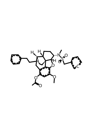 COc1cc(OC(C)=O)c2c3c1O[C@H]1[C@@H](N(C)S(=O)(=O)Cc4ccccc4)CC[C@H]4[C@@H](C2)N(CCc2ccccc2)CC[C@@]341